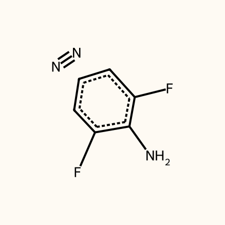 N#N.Nc1c(F)cccc1F